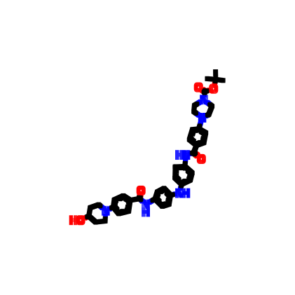 CC(C)(C)OC(=O)N1CCN(c2ccc(C(=O)Nc3ccc(Nc4ccc(NC(=O)c5ccc(N6CCC(O)CC6)cc5)cc4)cc3)cc2)CC1